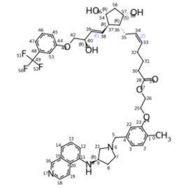 Cc1ccc(CN2CC[C@@H](Nc3cccc4cnccc34)C2)cc1OCCOC(=O)CCC/C=C\C[C@@H]1[C@@H](/C=C/[C@@H](O)COc2cccc(C(F)(F)F)c2)[C@H](O)C[C@@H]1O